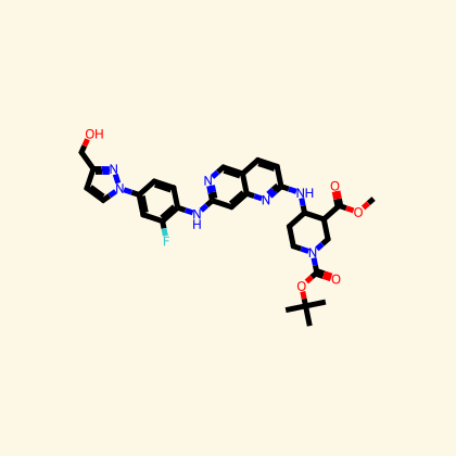 COC(=O)C1CN(C(=O)OC(C)(C)C)CCC1Nc1ccc2cnc(Nc3ccc(-n4ccc(CO)n4)cc3F)cc2n1